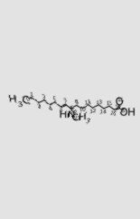 CCCCCCCCC(CCCCCCCCC(=O)O)NC